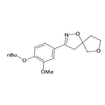 CCCCOc1ccc(C2=NOC3(CCOC3)C2)cc1OC